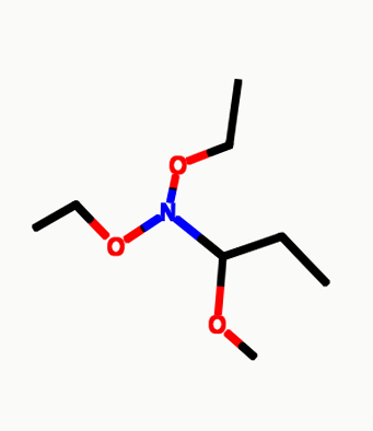 CCON(OCC)C(CC)OC